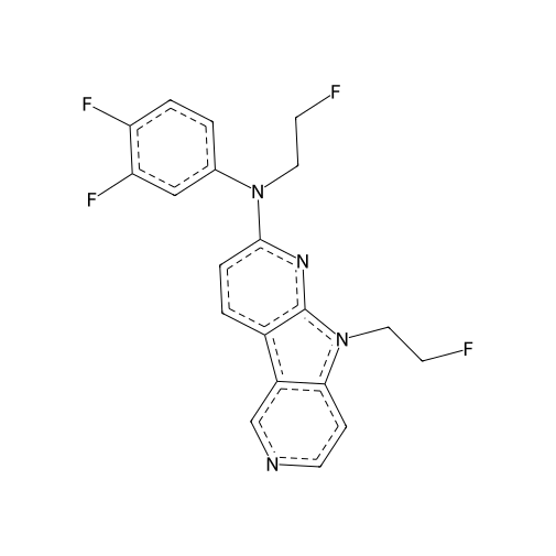 FCCN(c1ccc(F)c(F)c1)c1ccc2c3cnccc3n(CCF)c2n1